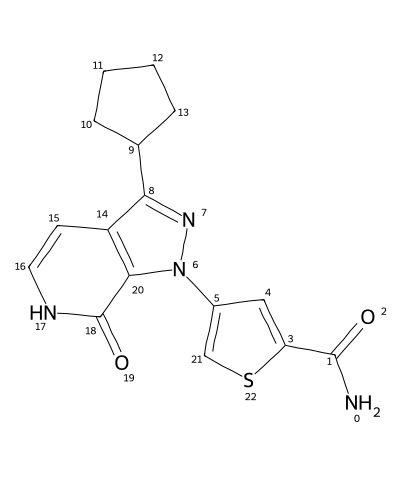 NC(=O)c1cc(-n2nc(C3CCCC3)c3cc[nH]c(=O)c32)cs1